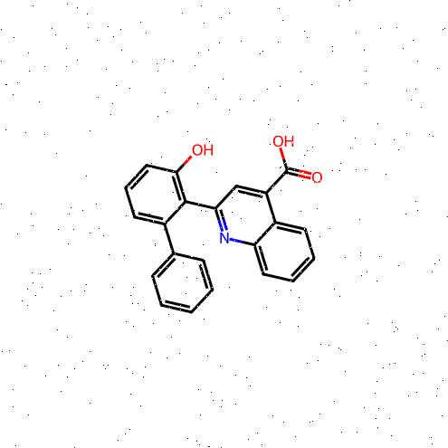 O=C(O)c1cc(-c2c(O)cccc2-c2ccccc2)nc2ccccc12